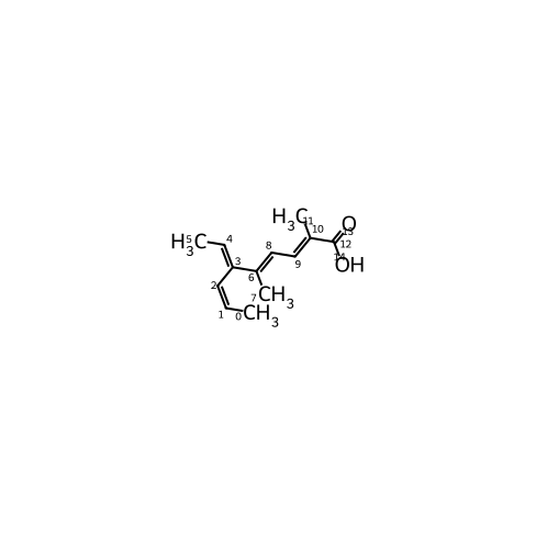 C\C=C/C(=C\C)C(/C)=C/C=C(\C)C(=O)O